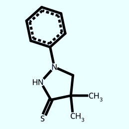 CC1(C)CN(c2ccccc2)NC1=S